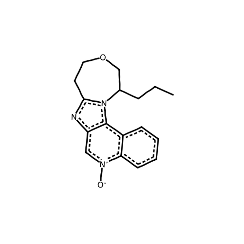 CCCC1COCCc2nc3c[n+]([O-])c4ccccc4c3n21